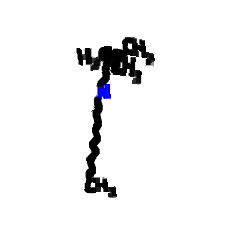 C=CC[Si](C)(C)CCC=NCCCCCCCCCCCC